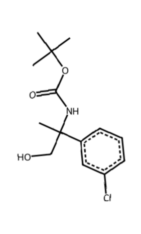 CC(C)(C)OC(=O)NC(C)(CO)c1cccc(Cl)c1